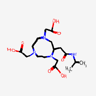 CC(C)NC(=O)CC1CN(CC(=O)O)CCN(CC(=O)O)CCN1CC(=O)O